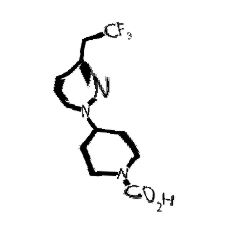 O=C(O)N1CCC(n2ccc(CC(F)(F)F)n2)CC1